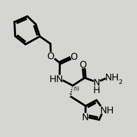 NNC(=O)[C@H](Cc1c[nH]cn1)NC(=O)OCc1ccccc1